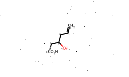 C=CCC(O)CC(=O)O